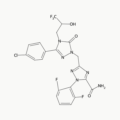 NC(=O)c1nc(Cn2nc(-c3ccc(Cl)cc3)n(CC(O)C(F)(F)F)c2=O)nn1-c1c(F)cccc1F